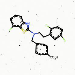 O=C(O)c1ccc(CN(CCc2cc(F)ccc2F)c2nc3cccc(F)c3s2)cc1